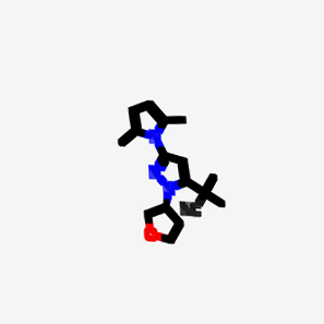 Cc1ccc(C)n1-c1cc(C(C)(C)C#N)n([C@H]2CCOC2)n1